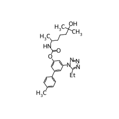 CCc1nnnn1-c1cc(OC(=O)NC(C)CCCC(C)(C)O)cc(-c2ccc(C)cc2)c1